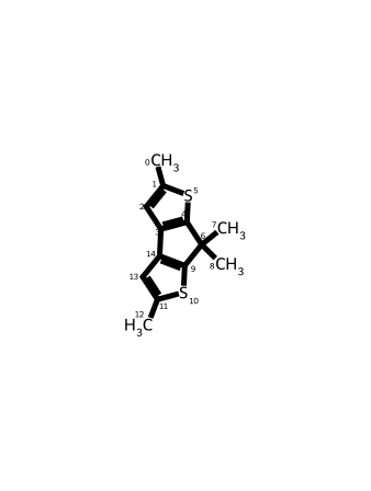 Cc1cc2c(s1)C(C)(C)c1sc(C)cc1-2